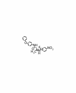 CN(CC(=O)Nc1ccc(Oc2ccccc2)cc1)NS1(F)c2ccc([N+](=O)[O-])cc21